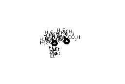 CC[N](CC)[Zr][N](CC)CC.C[Si](C)(C)N=C(N[Si](C)(C)C)c1ccccc1C(=O)O.C[Si](C)(C)N=C(N[Si](C)(C)C)c1ccccc1C(=O)O